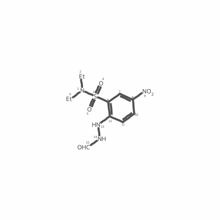 CCN(CC)S(=O)(=O)c1cc([N+](=O)[O-])ccc1NNC=O